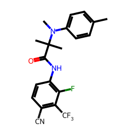 Cc1ccc(N(C)C(C)(C)C(=O)Nc2ccc(C#N)c(C(F)(F)F)c2F)cc1